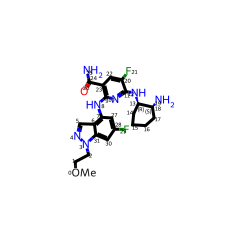 COCCn1ncc2c(Nc3nc(N[C@@H]4CCCC[C@@H]4N)c(F)cc3C(N)=O)cc(F)cc21